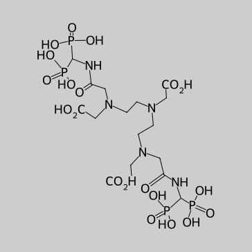 O=C(O)CN(CCN(CC(=O)O)CC(=O)NC(P(=O)(O)O)P(=O)(O)O)CCN(CC(=O)O)CC(=O)NC(P(=O)(O)O)P(=O)(O)O